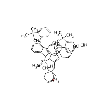 CCC1(CC2=Cc3c(-c4ccccc4C(C)(C)C)cccc3[CH]2[Zr]([CH3])([CH3])(=[SiH2])[CH]2C(CC3(CC)CC=CCC3)=Cc3c(-c4ccccc4C(C)(C)C)cccc32)CC=CCC1.Cl.Cl